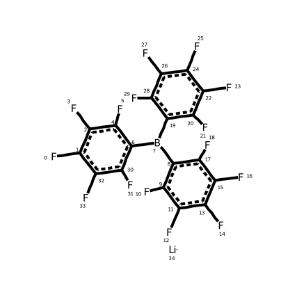 Fc1c(F)c(F)c(B(c2c(F)c(F)c(F)c(F)c2F)c2c(F)c(F)c(F)c(F)c2F)c(F)c1F.[Li]